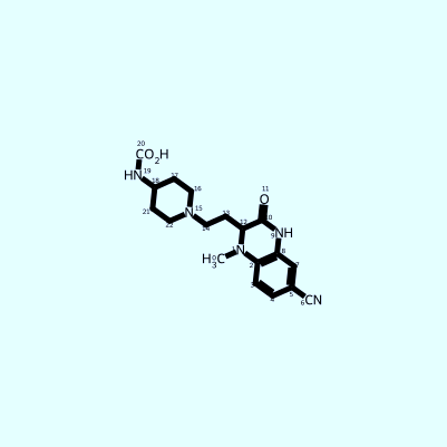 CN1c2ccc(C#N)cc2NC(=O)C1CCN1CCC(NC(=O)O)CC1